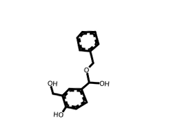 OCc1cc(C(O)OCc2ccccc2)ccc1O